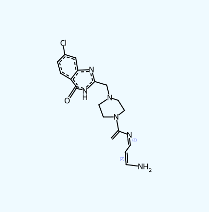 C=C(/N=C\C=C/N)N1CCN(Cc2nc3cc(Cl)ccc3c(=O)[nH]2)CC1